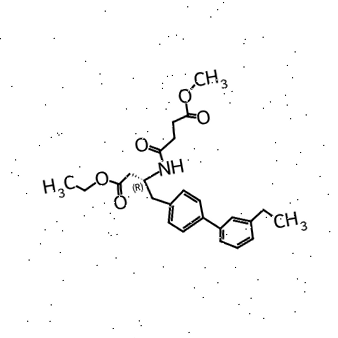 CCOC(=O)C[C@@H](Cc1ccc(-c2cccc(CC)c2)cc1)NC(=O)CCC(=O)OC